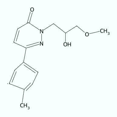 COCC(O)Cn1nc(-c2c[c]c(C)cc2)ccc1=O